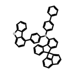 c1ccc(-c2ccc(N(c3ccc(-c4cccc5oc6ccccc6c45)cc3)c3cccc4c3-c3ccccc3C43c4cccc5cccc3c45)cc2)cc1